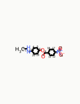 CCNc1ccc(OC(=O)c2ccc([N+](=O)[O-])cc2)cc1